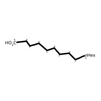 [CH2]CCCCCCCCCCCC[CH]C(=O)O